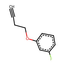 C#CCCOc1cc[c]c(F)c1